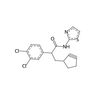 O=C(Nc1nccs1)C(CC1C#CCC1)c1ccc(Cl)c(Cl)c1